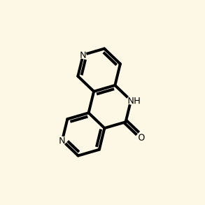 O=c1[nH]c2ccncc2c2cnccc12